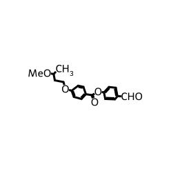 COC(C)CCOc1ccc(C(=O)Oc2ccc(C=O)cc2)cc1